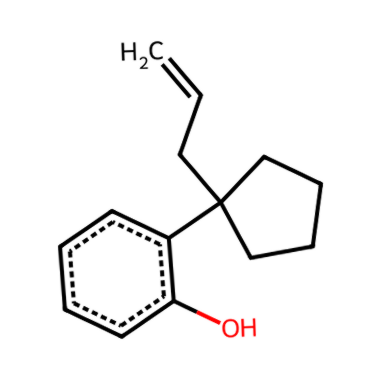 C=CCC1(c2ccccc2O)CCCC1